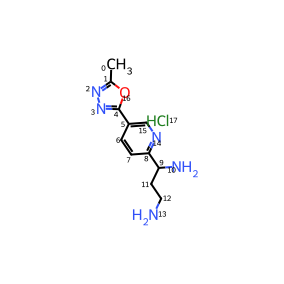 Cc1nnc(-c2ccc(C(N)CCN)nc2)o1.Cl